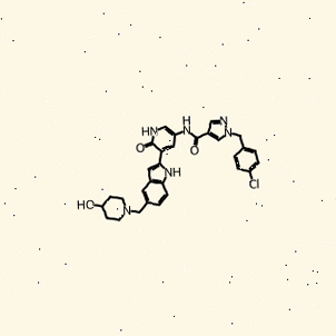 O=C(Nc1c[nH]c(=O)c(-c2cc3cc(CN4CCC(O)CC4)ccc3[nH]2)c1)c1cnn(Cc2ccc(Cl)cc2)c1